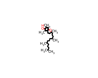 Cc1cc2c(c(C)c1O)C=CC(C)(CCC[C@H](C)CCC[C@H](C)CCCC(C)C)O2